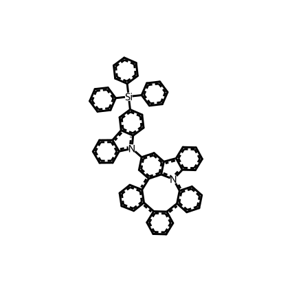 c1ccc([Si](c2ccccc2)(c2ccccc2)c2ccc3c(c2)c2ccccc2n3-c2cc3c4ccccc4c4ccccc4c4ccccc4n4c5ccccc5c(c2)c34)cc1